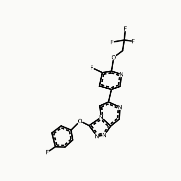 Fc1ccc(Oc2nnc3cnc(-c4cnc(OCC(F)(F)F)c(F)c4)cn23)cc1